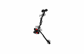 Cc1ccc(C(OC(=O)[C@H](CC(=O)NCCCOCCOCCOCCCNC(=O)OCC2c3ccccc3-c3ccccc32)NC(=O)CCCCCCCCCCCCCCCCC(=O)OC(C)(C)C)(c2ccccc2)c2ccccc2Cl)cc1